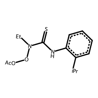 CCN(OOC(C)=O)C(=S)Nc1ccccc1C(C)C